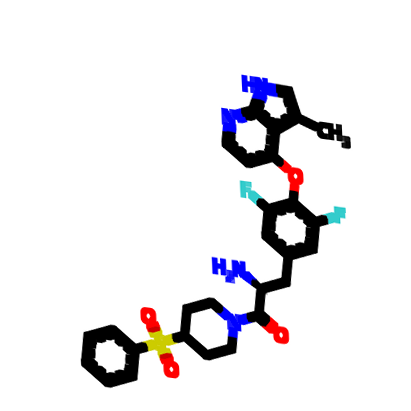 Cc1c[nH]c2nccc(Oc3c(F)cc(C[C@H](N)C(=O)N4CCC(S(=O)(=O)c5ccccc5)CC4)cc3F)c12